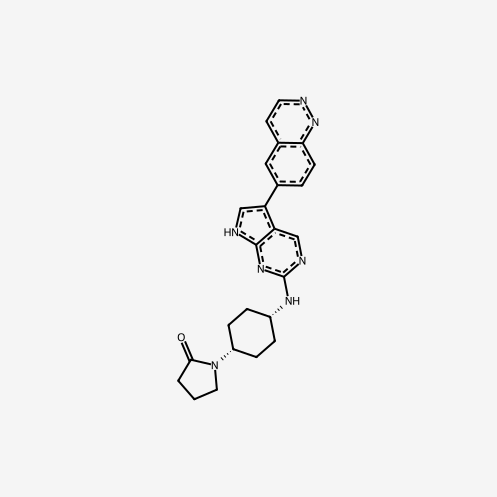 O=C1CCCN1[C@H]1CC[C@@H](Nc2ncc3c(-c4ccc5nnccc5c4)c[nH]c3n2)CC1